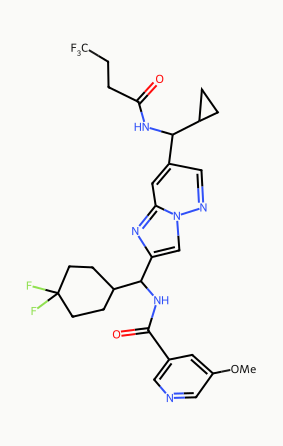 COc1cncc(C(=O)NC(c2cn3ncc(C(NC(=O)CCC(F)(F)F)C4CC4)cc3n2)C2CCC(F)(F)CC2)c1